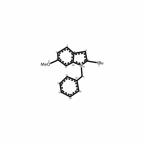 COc1ccc2cc(C(C)(C)C)n(Cc3ccccc3)c2c1